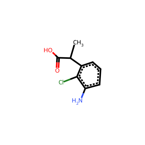 CC(C(=O)O)c1cccc(N)c1Cl